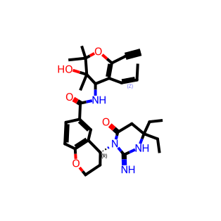 C#CC1=C(/C=C\C)C(NC(=O)c2ccc3c(c2)[C@H](N2C(=N)NC(CC)(CC)CC2=O)CCO3)C(C)(O)C(C)(C)O1